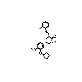 COc1ccc([C@H]2CNC(=O)[C@H](CNc3ccccc3C)C2)cc1OC1CCCC1